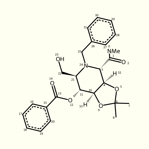 CNC(=O)[C@@H]1[C@H]2OC(C)(C)O[C@H]2[C@H](OC(=O)c2ccccc2)[C@@H](CO)N1Cc1ccccc1